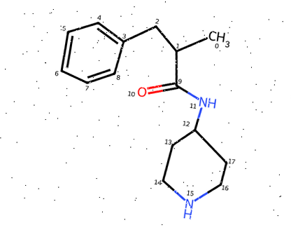 CC(Cc1ccccc1)C(=O)NC1CCNCC1